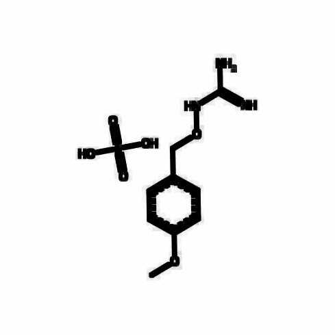 COc1ccc(CONC(=N)N)cc1.O=S(=O)(O)O